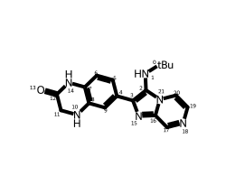 CC(C)(C)Nc1c(-c2ccc3c(c2)NCC(=O)N3)nc2cnccn12